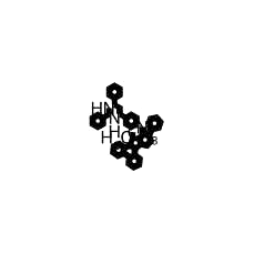 CC1(C)c2c(c3ccccc3c3ccccc23)-c2ccc3c4ccccc4n(-c4ccc(C5=CC(c6ccccc6)NC(c6ccccc6)N5)cc4)c3c21